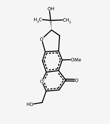 COc1c2c(cc3oc(CO)cc(=O)c13)O[C@H](C(C)(C)O)C2